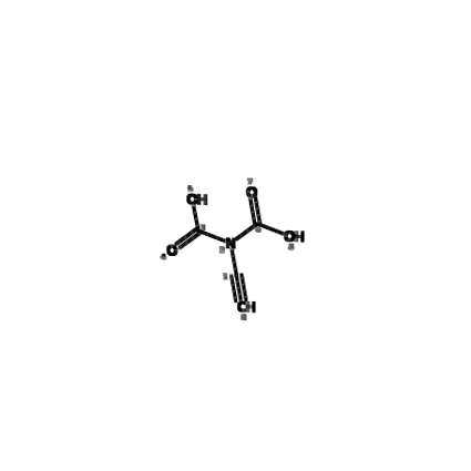 C#CN(C(=O)O)C(=O)O